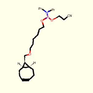 CC(C)N(C(C)C)P(OCCC#N)OCCCCCCOC[C@@H]1[C@@H]2CCC#CCC[C@@H]21